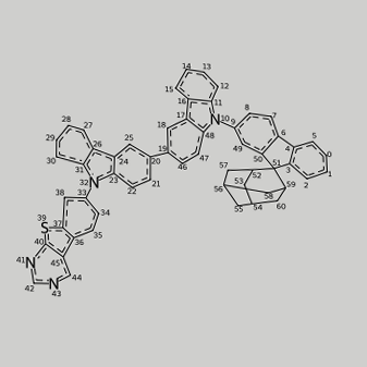 c1ccc2c(c1)-c1ccc(-n3c4ccccc4c4cc(-c5ccc6c(c5)c5ccccc5n6-c5ccc6c(c5)sc5ncncc56)ccc43)cc1C21C2CC3CC(C2)CC1C3